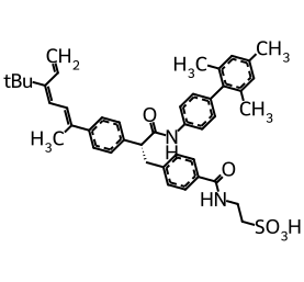 C=C/C(=C\C=C(/C)c1ccc([C@@H](Cc2ccc(C(=O)NCCS(=O)(=O)O)cc2)C(=O)Nc2ccc(-c3c(C)cc(C)cc3C)cc2)cc1)C(C)(C)C